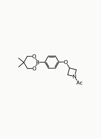 CC(=O)N1CC(Oc2ccc(B3OCC(C)(C)CO3)cc2)C1